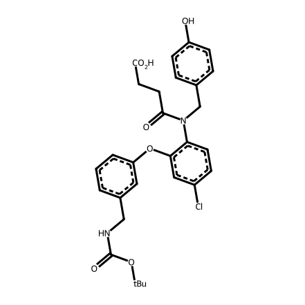 CC(C)(C)OC(=O)NCc1cccc(Oc2cc(Cl)ccc2N(Cc2ccc(O)cc2)C(=O)CCC(=O)O)c1